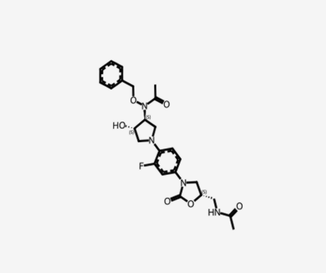 CC(=O)NC[C@H]1CN(c2ccc(N3C[C@H](O)[C@@H](N(OCc4ccccc4)C(C)=O)C3)c(F)c2)C(=O)O1